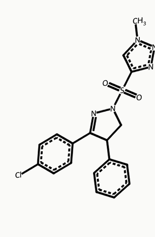 Cn1cc(S(=O)(=O)N2CC(c3ccccc3)C(c3ccc(Cl)cc3)=N2)nn1